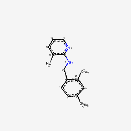 COc1ccc(CNc2ncccc2C#N)c(OC)c1